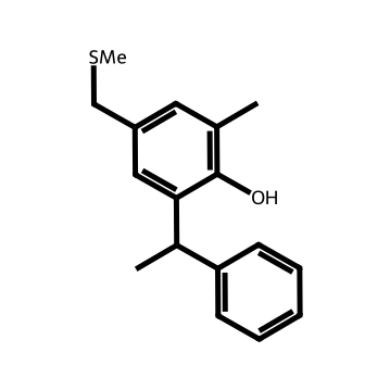 CSCc1cc(C)c(O)c(C(C)c2ccccc2)c1